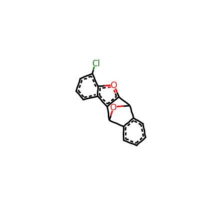 Clc1cccc2c3c(oc12)C1OC3c2ccccc21